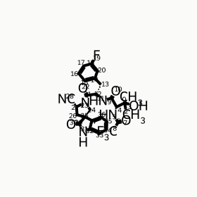 CC(C)(O)[C@H](NC(=O)C(F)(F)F)C(=O)N[C@@H](Cc1cccc(F)c1)C(=O)N1C[C@]2(C[C@H]1C#N)C(=O)Nc1ccccc12